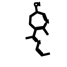 C/C=C\N=C(/C)C1=C(C)N=CC(C#N)CC1